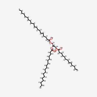 CCCCCCCCCCCCCCCCCCCC(=O)OC[C@@H](COC(=O)CCCCCCCCCCCC)OC(=O)CCCCCCCCCCCCCCCCC